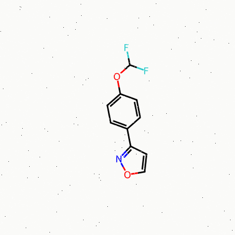 FC(F)Oc1ccc(-c2ccon2)cc1